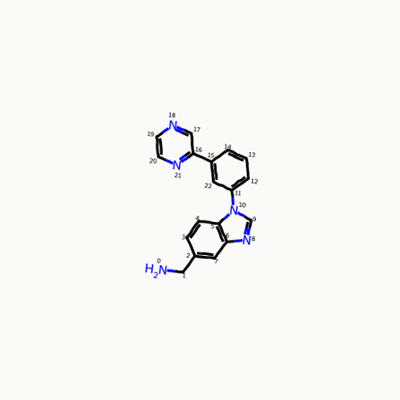 NCc1ccc2c(c1)ncn2-c1cccc(-c2cnccn2)c1